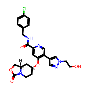 O=C(NCc1ccc(Cl)cc1)c1cc(O[C@H]2CCN3C(=O)OC[C@@H]3C2)c(-c2cnn(CCO)c2)cn1